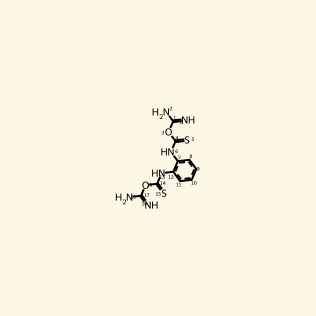 N=C(N)OC(=S)Nc1ccccc1NC(=S)OC(=N)N